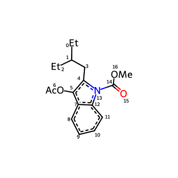 CCC(CC)Cc1c(OC(C)=O)c2ccccc2n1C(=O)OC